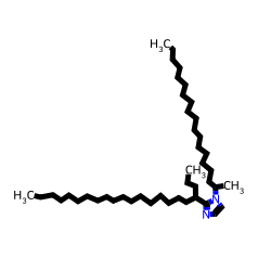 CCCCCCCCCCCCCCCCCCC(CCC)c1nccn1C(C)CCCCCCCCCCCCCCCCC